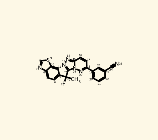 CC(F)(c1ccc2ncsc2c1)c1nnc2ccc(-c3cccc(C#N)c3)nn12